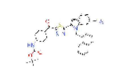 CC(C)(C)OC(=O)N[C@H]1CC[C@H](C(=O)c2nnc(-c3cc4ccc(C#N)cc4n3Cc3cccc4ccccc34)s2)CC1